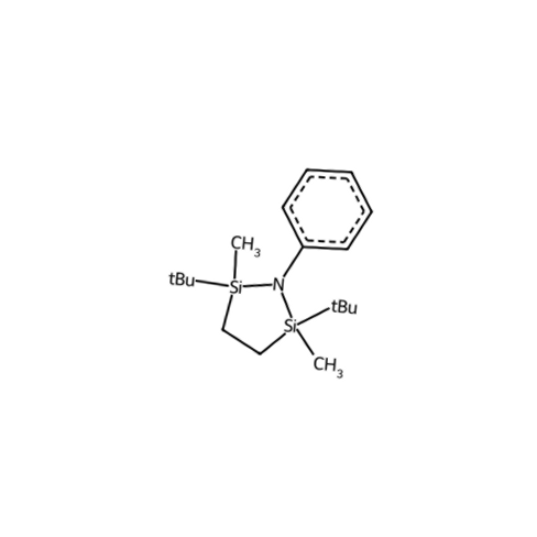 CC(C)(C)[Si]1(C)CC[Si](C)(C(C)(C)C)N1c1ccccc1